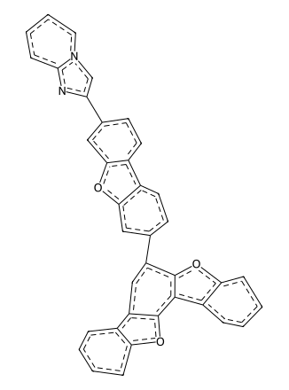 c1ccc2c(c1)oc1c2cc(-c2ccc3c(c2)oc2cc(-c4cn5ccccc5n4)ccc23)c2oc3ccccc3c21